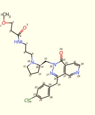 COCCC(=O)NCCCN1CCC[C@@H]1Cn1nc(Cc2ccc(Cl)cc2)c2cnccc2c1=O